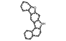 c1ccc2c(c1)ccc1[nH]c3cc4oc5ccccc5c4cc3c12